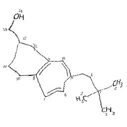 CC(C)(C)Cc1ccc2c(c1)[CH]C(CO)CC2